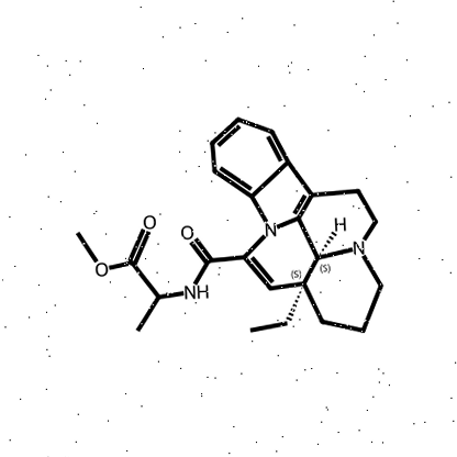 CC[C@@]12C=C(C(=O)NC(C)C(=O)OC)n3c4c(c5ccccc53)CCN(CCC1)[C@H]42